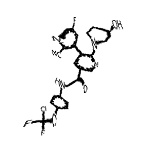 N#Cc1ncc(F)cc1-c1cc(C(=O)Nc2ccc(OC(F)(F)Cl)cc2)cnc1N1CC[C@@H](O)C1